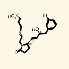 CCc1cccc(C[C@H](O)/C=C/[C@H]2CCC(=O)N2CCSCCCC(=O)O)c1